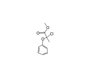 COC(=O)C(C)(Cl)Oc1ccccc1